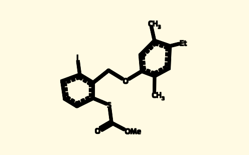 CCc1cc(C)c(OCc2c(I)cccc2SC(=O)OC)cc1C